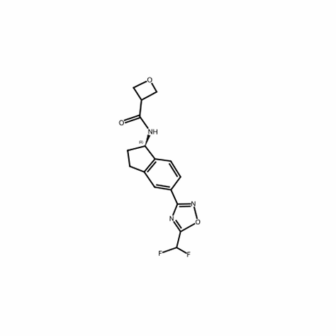 O=C(N[C@@H]1CCc2cc(-c3noc(C(F)F)n3)ccc21)C1COC1